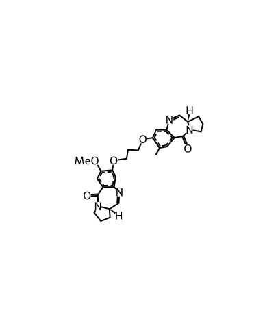 COc1cc2c(cc1OCCCOc1cc3c(cc1C)C(=O)N1CCC[C@H]1C=N3)N=C[C@@H]1CCCN1C2=O